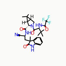 CC1(CC(C#N)NC(=O)[C@@H]2[C@H]3[C@H](CN2C(=O)[C@@H](NC(=O)C(F)(F)F)C(C)(C)C)C3(C)C)C(=O)Nc2ccccc21